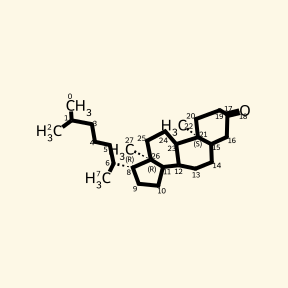 CC(C)CCCC(C)[C@H]1CCC2C3CCC4CC(=O)CC[C@]4(C)C3CC[C@@]21C